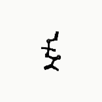 C=COC(C)(C)OC(=O)C(=C)C